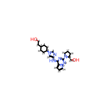 OCCC1CCC(n2cnc(Nc3nc(N4CCC[C@H]4CO)nn4cccc34)c2)CC1